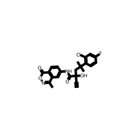 C#CC(O)(CC(C)(C)c1ccc(F)cc1Cl)C(=O)Nc1ccc2c(=O)onc(C)c2c1